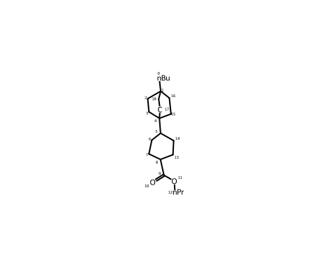 CCCCC12CCC(C3CCC(C(=O)OCCC)CC3)(CC1)CC2